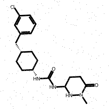 CN1NC(NC(=O)N[C@H]2CC[C@@H](Cc3cccc(Cl)c3)CC2)CCC1=O